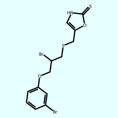 S=c1[nH]cc(CSCC(Br)COc2cccc(Br)c2)o1